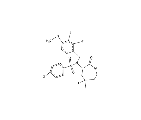 COc1ccc(CN(C2CC(F)(F)CCNC2=O)S(=O)(=O)c2ccc(Cl)cc2)c(F)c1F